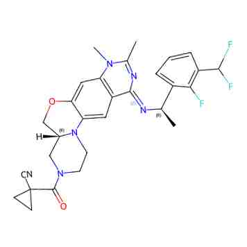 Cc1n/c(=N\[C@H](C)c2cccc(C(F)F)c2F)c2cc3c(cc2n1C)OC[C@H]1CN(C(=O)C2(C#N)CC2)CCN31